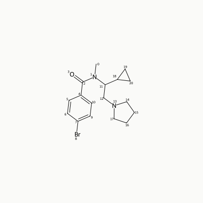 CN(C(=O)c1ccc(Br)cc1)C(CN1CCCC1)C1CC1